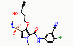 C#C[C@@H](O)CCOc1c(S(=O)(=O)N=C)cn(C)c1C(=O)Nc1ccc(F)c(C#N)c1